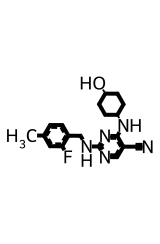 Cc1ccc(CNc2ncc(C#N)c(N[C@H]3CC[C@@H](O)CC3)n2)c(F)c1